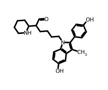 Cc1c(-c2ccc(O)cc2)n(CCCCC(C=O)C2CCCCN2)c2ccc(O)cc12